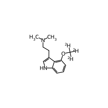 [2H]C([2H])([2H])Oc1cccc2[nH]cc(CCN(C)C)c12